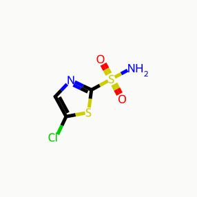 NS(=O)(=O)c1ncc(Cl)s1